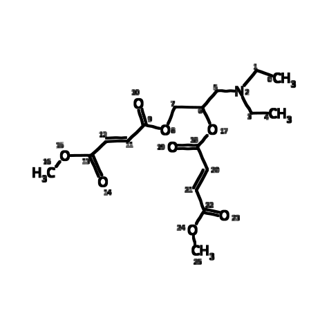 CCN(CC)CC(COC(=O)/C=C/C(=O)OC)OC(=O)/C=C/C(=O)OC